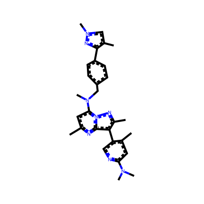 Cc1cc(N(C)Cc2ccc(-c3nn(C)cc3C)cc2)n2nc(C)c(-c3cnc(N(C)C)cc3C)c2n1